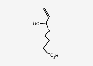 C=CC(O)SCCCC(=O)O